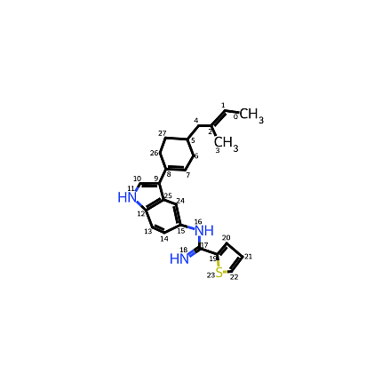 C/C=C(\C)CC1CC=C(c2c[nH]c3ccc(NC(=N)c4cccs4)cc23)CC1